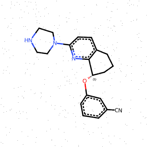 N#Cc1cccc(O[C@H]2CCCc3ccc(N4CCNCC4)nc32)c1